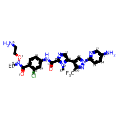 CCN(OCCN)C(=O)c1ccc(NC(=O)c2ncc(-c3cn(-c4ccc(N)cn4)nc3C(F)(F)F)n2C)cc1Cl